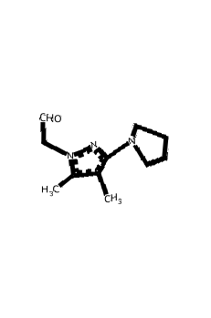 Cc1c(N2CCCC2)nn(CC=O)c1C